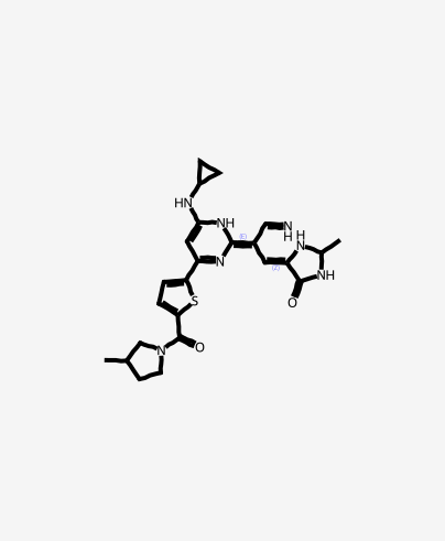 CC1CCN(C(=O)c2ccc(C3=N/C(=C(C=N)\C=C4/NC(C)NC4=O)NC(NC4CC4)=C3)s2)C1